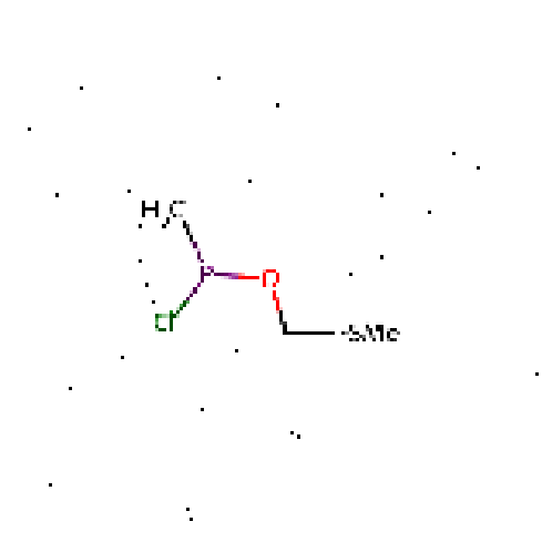 CSCOP(C)Cl